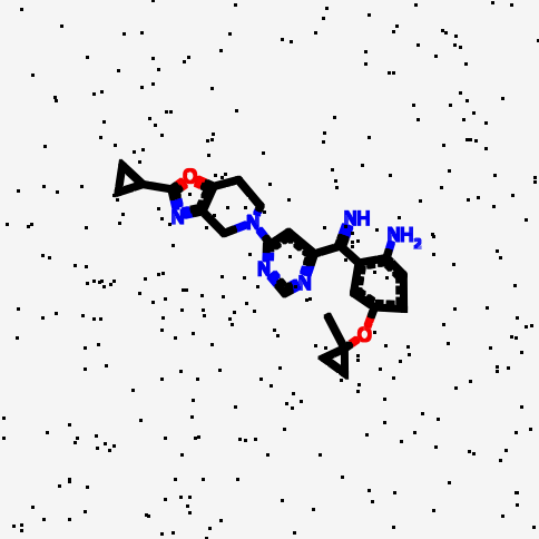 CC1(Oc2ccc(N)c(C(=N)c3cc(N4CCc5oc(C6CC6)nc5C4)ncn3)c2)CC1